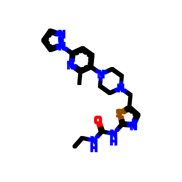 CCNC(=O)Nc1ncc(CN2CCN(c3ccc(-n4cccn4)nc3C)CC2)s1